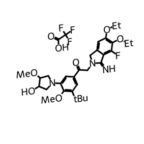 CCOc1cc2c(c(F)c1OCC)C(=N)N(CC(=O)c1cc(N3CC(O)C(OC)C3)c(OC)c(C(C)(C)C)c1)C2.O=C(O)C(F)(F)F